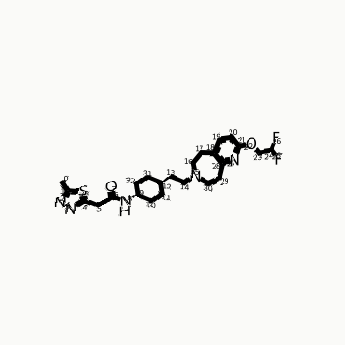 Cc1nnc(CC(=O)N[C@H]2CC[C@H](CCN3CCc4ccc(OCC(F)F)nc4CC3)CC2)s1